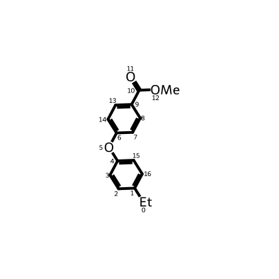 CCc1ccc(Oc2ccc(C(=O)OC)cc2)cc1